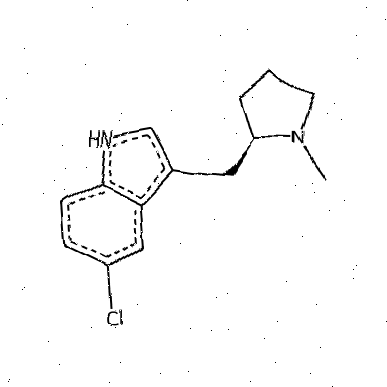 CN1CCC[C@@H]1Cc1c[nH]c2ccc(Cl)cc12